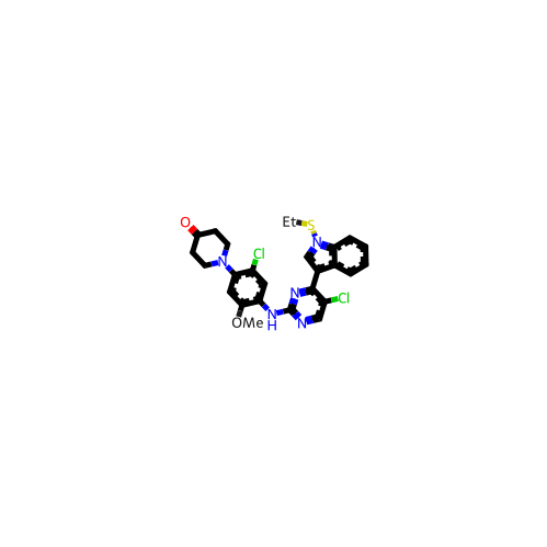 CCSn1cc(-c2nc(Nc3cc(Cl)c(N4CCC(=O)CC4)cc3OC)ncc2Cl)c2ccccc21